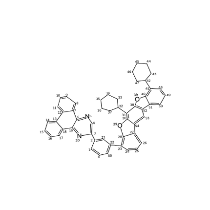 c1cc(-c2cnc3c4ccccc4c4ccccc4c3n2)cc(-c2cccc3c2oc2c(C4CCCCC4)c4oc5c(C6CCCCC6)cccc5c4cc23)c1